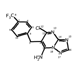 Nc1c(Cc2ccc(C(F)(F)F)cc2)c(Cl)nc2ncnn12